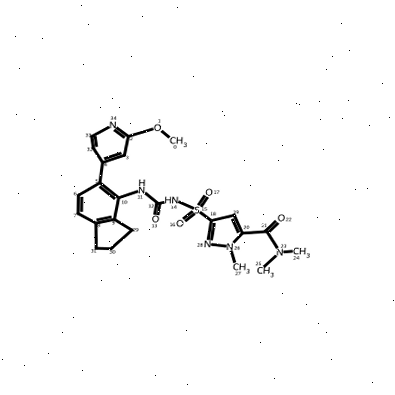 COc1cc(-c2ccc3c(c2NC(=O)NS(=O)(=O)c2cc(C(=O)N(C)C)n(C)n2)CCC3)ccn1